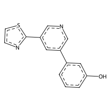 Oc1cccc(-c2cncc(-c3nccs3)c2)c1